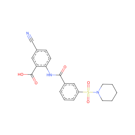 N#Cc1ccc(NC(=O)c2cccc(S(=O)(=O)N3CCCCC3)c2)c(C(=O)O)c1